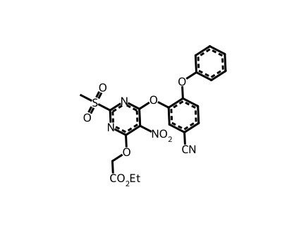 CCOC(=O)COc1nc(S(C)(=O)=O)nc(Oc2cc(C#N)ccc2Oc2ccccc2)c1[N+](=O)[O-]